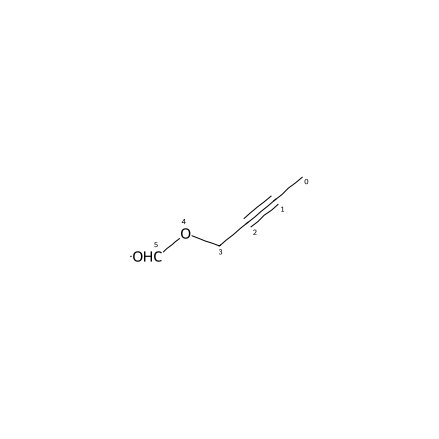 CC#CCO[C]=O